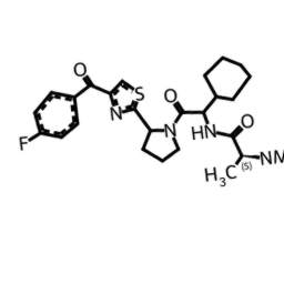 CN[C@@H](C)C(=O)NC(C(=O)N1CCCC1c1nc(C(=O)c2ccc(F)cc2)cs1)C1CCCCC1